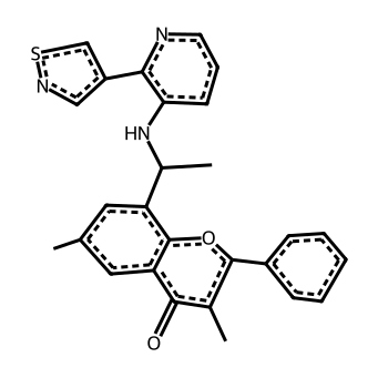 Cc1cc(C(C)Nc2cccnc2-c2cnsc2)c2oc(-c3ccccc3)c(C)c(=O)c2c1